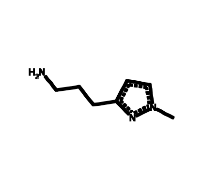 Cn1ccc(CCCN)n1